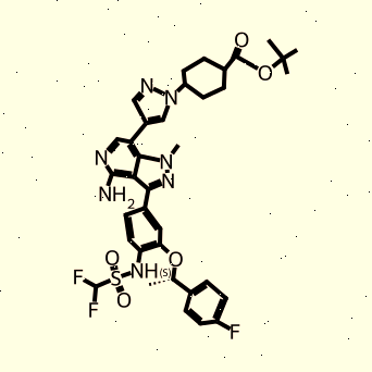 C[C@H](Oc1cc(-c2nn(C)c3c(-c4cnn(C5CCC(C(=O)OC(C)(C)C)CC5)c4)cnc(N)c23)ccc1NS(=O)(=O)C(F)F)c1ccc(F)cc1